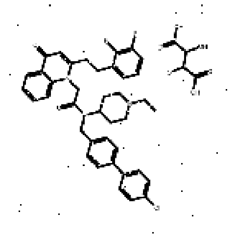 CCN1CCC(N(Cc2ccc(-c3ccc(Cl)cc3)cc2)C(=O)Cn2c(CCc3cccc(F)c3F)cc(=O)c3ccccc32)CC1.O=C(O)C(O)C(O)C(=O)O